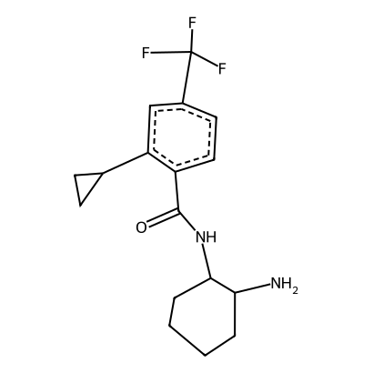 NC1CCCCC1NC(=O)c1ccc(C(F)(F)F)cc1C1CC1